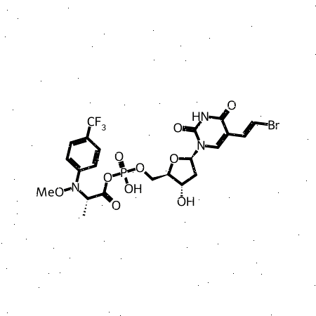 CON(c1ccc(C(F)(F)F)cc1)[C@@H](C)C(=O)OP(=O)(O)OC[C@H]1O[C@@H](n2cc(/C=C/Br)c(=O)[nH]c2=O)C[C@@H]1O